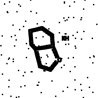 [KH].c1ccc2occc2c1